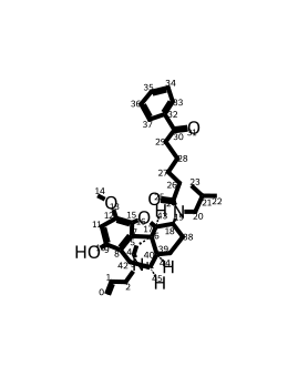 C=CCN1CC[C@]23c4c5c(O)cc(OC)c4O[C@H]2[C@@H](N(CC(C)C)C(=O)CCCCC(=O)c2ccccc2)CC[C@H]3[C@H]1C5